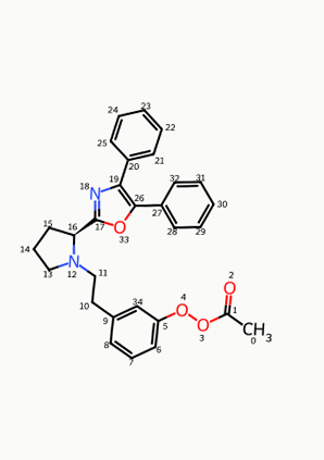 CC(=O)OOc1cccc(CCN2CCC[C@H]2c2nc(-c3ccccc3)c(-c3ccccc3)o2)c1